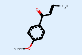 CCCCCOc1ccc(C(=O)/C=C/C(=O)O)cc1